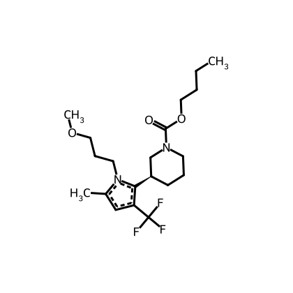 CCCCOC(=O)N1CCC[C@@H](c2c(C(F)(F)F)cc(C)n2CCCOC)C1